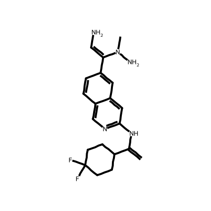 C=C(Nc1cc2cc(/C(=C/N)N(C)N)ccc2cn1)C1CCC(F)(F)CC1